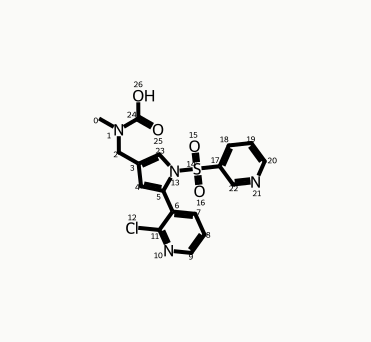 CN(Cc1cc(-c2cccnc2Cl)n(S(=O)(=O)c2cccnc2)c1)C(=O)O